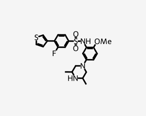 COc1ccc(N2CC(C)NC(C)C2)cc1NS(=O)(=O)c1ccc(-c2ccsc2)c(F)c1